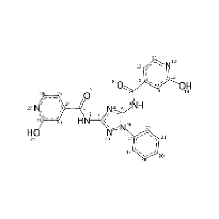 O=C(Nc1nc(NC(=O)c2ccnc(O)c2)n(-c2ccccc2)n1)c1ccnc(O)c1